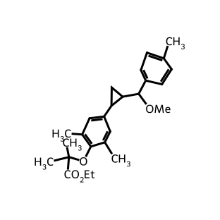 CCOC(=O)C(C)(C)Oc1c(C)cc(C2CC2C(OC)c2ccc(C)cc2)cc1C